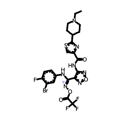 CCN1CCC(c2nc(C(=O)Nc3nonc3/C(=N\OC(=O)C(F)(F)F)Nc3ccc(F)c(Br)c3)cs2)CC1